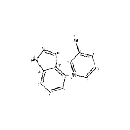 Brc1cccnc1.c1ccc2[nH]ccc2c1